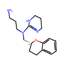 NCCCN(C[C@H]1CCc2ccccc2O1)C1=NCCCN1